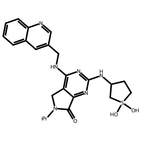 CC(C)N1Cc2c(NCc3cnc4ccccc4c3)nc(NC3CCS(O)(O)C3)nc2C1=O